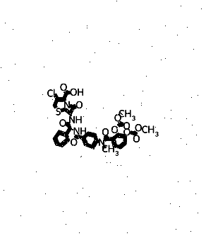 COC(=O)Oc1cccc(C(=O)N(C)c2ccc(C(=O)N[C@@H](C(=O)N[C@@H]3C(=O)N4C(C(=O)O)=C(Cl)CSC34)c3ccccc3)cc2)c1OC(=O)OC